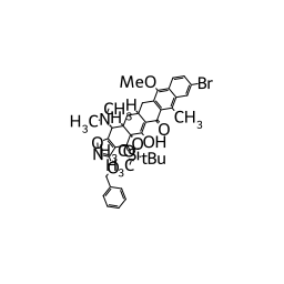 COc1c2c(c(C)c3cc(Br)ccc13)C(=O)C1=C(O)[C@]3(O[Si](C)(C)C(C)(C)C)C(=O)c4c(OCc5ccccc5)noc4[C@@H](N(C)C)[C@@H]3C[C@@H]1C2